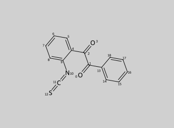 O=C(C(=O)c1ccccc1N=C=S)c1ccccc1